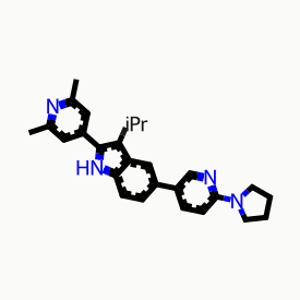 Cc1cc(-c2[nH]c3ccc(-c4ccc(N5CCCC5)nc4)cc3c2C(C)C)cc(C)n1